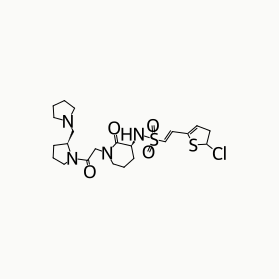 O=C1[C@@H](NS(=O)(=O)/C=C/C2=CCC(Cl)S2)CCCN1CC(=O)N1CCC[C@H]1CN1CCCC1